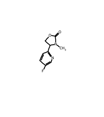 CN1C(=O)OCC1c1ccc(F)cn1